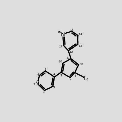 Ic1cc(-c2ccncc2)cc(-c2cccnc2)c1